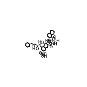 O=C(CNCc1ccccc1)Nc1cc(S(=O)(=O)O)cc2cc(S(=O)(=O)O)c(N=Nc3ccc4ccccc4c3S(=O)(=O)O)c(O)c12